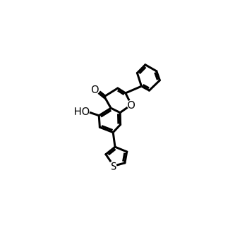 O=c1cc(-c2ccccc2)oc2cc(-c3ccsc3)cc(O)c12